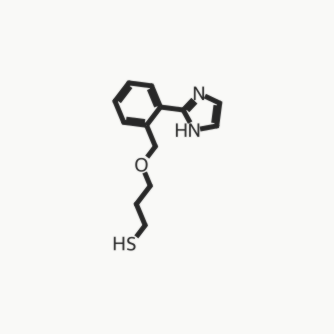 SCCCOCc1ccccc1-c1ncc[nH]1